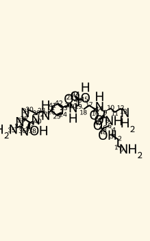 NCCCC[C@@H](NC(=O)[C@H](CCCN)NC(=O)CC[C@H](NC(=O)c1ccc(NCc2cnc3nc(N)nc(O)c3n2)cc1)C(=O)O)C(=O)O